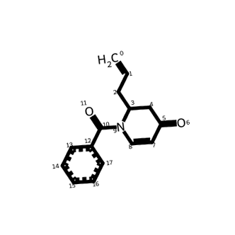 C=CCC1CC(=O)C=CN1C(=O)c1ccccc1